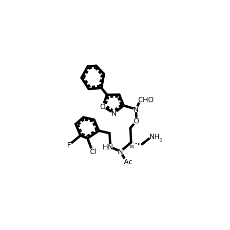 CC(=O)N(NCc1cccc(F)c1Cl)[C@@H](CN)CON(C=O)c1cc(-c2ccccc2)on1